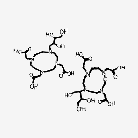 O=C(O)CN1CCN(CC(=O)O)CCN(C(CO)C(O)CO)CCN(CC(=O)O)CC1.O=C(O)CN1CCN(CC(=O)O)CCN(CC(O)C(O)CO)CCN(CC(=O)O)CC1